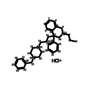 CCCN1Cc2ccccc2C(CCCN2CCN(Cc3ccccc3)CC2)(c2ccccc2)C1.Cl